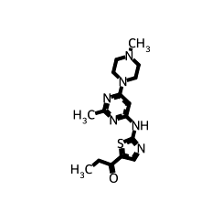 CCC(=O)c1cnc(Nc2cc(N3CCN(C)CC3)nc(C)n2)s1